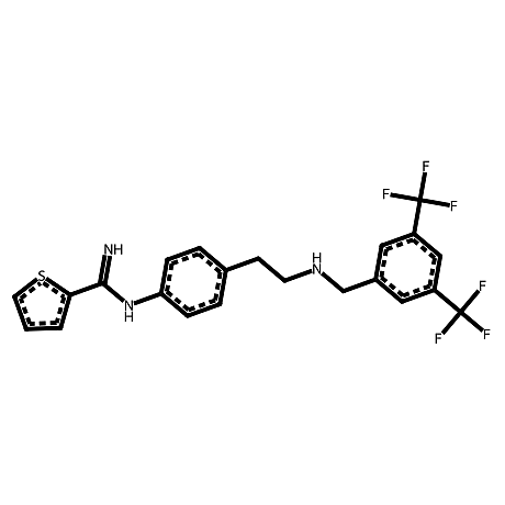 N=C(Nc1ccc(CCNCc2cc(C(F)(F)F)cc(C(F)(F)F)c2)cc1)c1cccs1